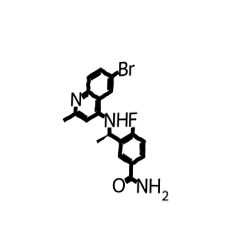 Cc1cc(N[C@H](C)c2cc(C(N)=O)ccc2F)c2cc(Br)ccc2n1